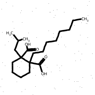 CCCCCCCCC1(C(=O)O)CCCCC1(CC(C)C)C(=O)O